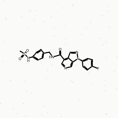 CS(=O)(=O)Nc1ccc(CNC(=O)c2cncc3c2cnn3-c2ccc(F)cc2)cc1